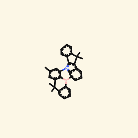 Cc1cc2c3c(c1)C(C)(C)c1ccccc1B3c1cccc3c4c(n-2c13)-c1ccccc1C4(C)C